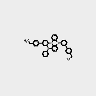 C=Cc1ccc(-c2cccc(B3c4ccccc4N4c5ccc(-c6ccc(C=C)cc6)cc5B(c5ccccc5)c5cccc3c54)c2)cc1